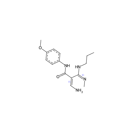 CCCNC(=N/C)/C(=C\N)C(=O)Nc1ccc(OC)cc1